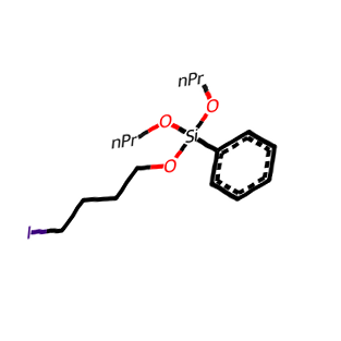 CCCO[Si](OCCC)(OCCCCI)c1ccccc1